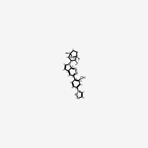 C[C@@]12CC[C@@](C)(N1)[C@@H](F)[C@@H](n1ccc3cc(-c4ccc(-n5ccnn5)cc4O)nnc31)C2